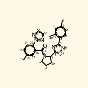 Cc1ccc(-c2noc(C3CCCN3C(=O)c3cc(C)ccc3-n3nccn3)n2)c(C)c1